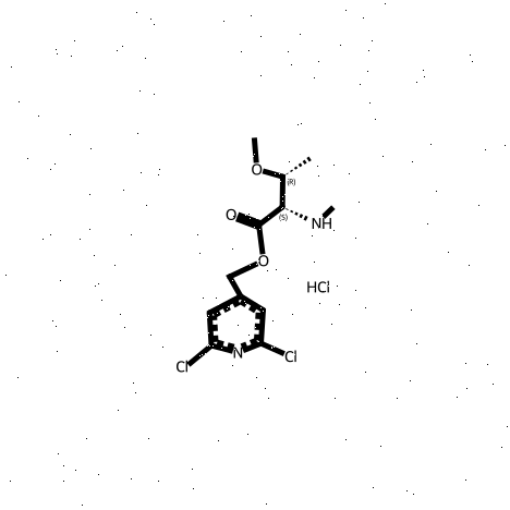 CN[C@H](C(=O)OCc1cc(Cl)nc(Cl)c1)[C@@H](C)OC.Cl